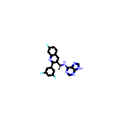 C[C@H](Nc1ncnc2[nH]cnc12)c1cc2ccc(F)cc2nc1-c1cc(F)cc(F)c1